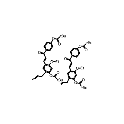 C/C=C/Cc1cc(/C=C/C(=O)c2ccc(OC(=O)C(C)(C)C)cc2)c(OCC)cc1OC(=O)C(C)(C)C.C=CCc1cc(/C=C/C(=O)c2ccc(OC(=O)C(C)(C)C)cc2)c(OCC)cc1OC(=O)C(C)(C)C